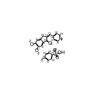 COc1cc2c(cc1OC)C(=O)C(=Cc1ccncc1)C2.Cc1ccc(S(=O)(=O)O)cc1